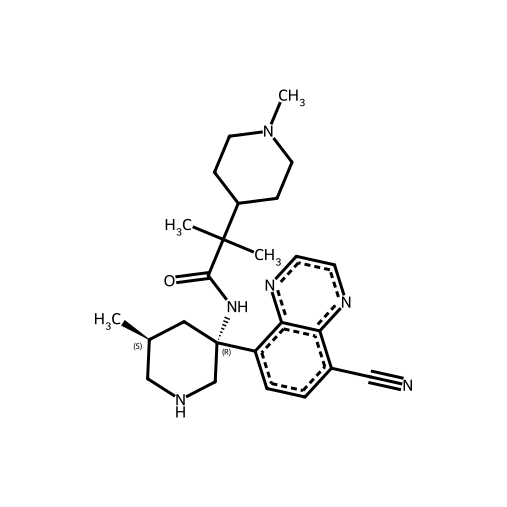 C[C@@H]1CNC[C@](NC(=O)C(C)(C)C2CCN(C)CC2)(c2ccc(C#N)c3nccnc23)C1